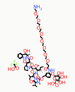 CC[C@H](C)[C@@H]([C@@H](CC(=O)N1CCC[C@H]1[C@H](OC)[C@@H](C)C(=O)N[C@H](C)[C@@H](O)c1ccccc1)OC)N(C)C(=O)[C@@H](NC(=O)[C@H](C(C)C)N(C)C(=O)OCc1ccc(O[C@@H]2O[C@H](C(=O)O)[C@@H](O)[C@H](O)[C@H]2O)c(NC(=O)CCOCCOCCOCCOCCOCCOCCOCCOCCN)c1)C(C)C.O=C(O)C(F)(F)F